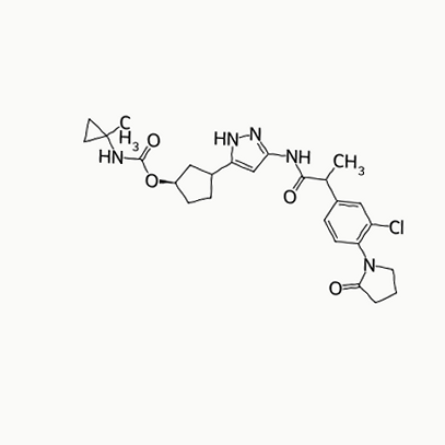 CC(C(=O)Nc1cc(C2CC[C@@H](OC(=O)NC3(C)CC3)C2)[nH]n1)c1ccc(N2CCCC2=O)c(Cl)c1